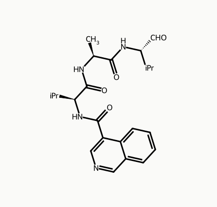 CC(C)[C@H](NC(=O)c1cncc2ccccc12)C(=O)N[C@@H](C)C(=O)N[C@H](C=O)C(C)C